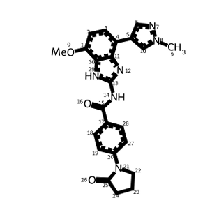 COc1ccc(-c2cnn(C)c2)c2nc(NC(=O)c3ccc(N4CCCC4=O)cc3)[nH]c12